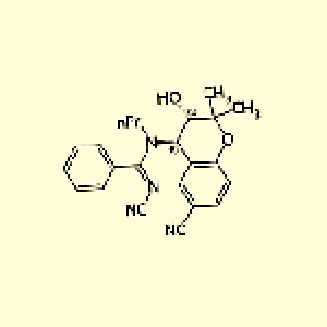 CCCN(C(=NC#N)c1ccccc1)[C@@H]1c2cc(C#N)ccc2OC(C)(C)[C@H]1O